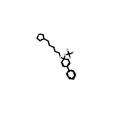 FC(F)(F)OC1(OCCCCCC2CCCC2)C=CC(c2ccccc2)=CC1